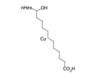 CCCCCCC(O)CCCCCCCCCCC(=O)O.[Cu]